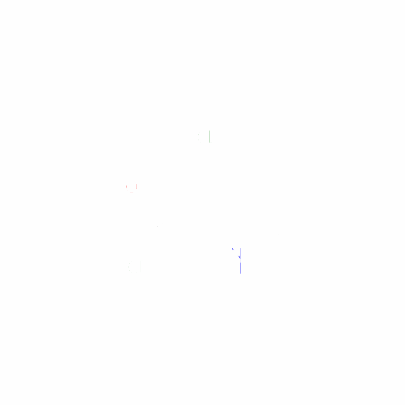 O=C(Cl)c1[nH]ccc1Cl